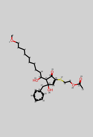 COCCCCCCCCCC(O)C1C(=O)C(SCCOC(C)=O)=CC1(O)Cc1ccccc1